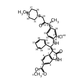 COC(=O)c1ccc2c(c1)NC(=O)/C2=C(\Nc1ccc(N(C)C(=O)CN2CCN(C)CC2)cc1)c1ccccc1.Cl